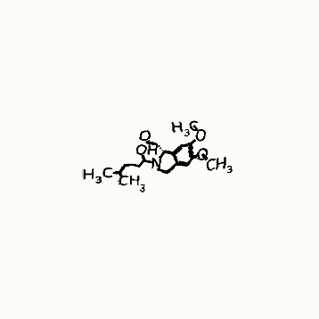 COc1cc2c(cc1OC)[C@@H](CC=O)N(C(O)CCC(C)C)CC2